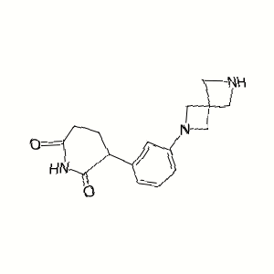 O=C1CCC(c2cccc(N3CC4(CNC4)C3)c2)C(=O)N1